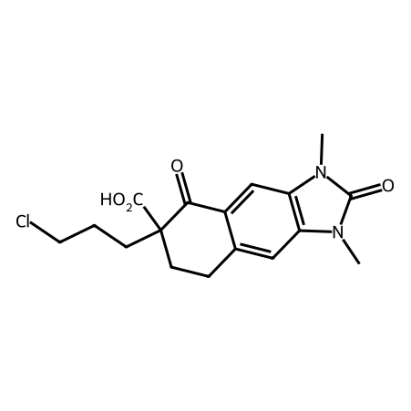 Cn1c(=O)n(C)c2cc3c(cc21)CCC(CCCCl)(C(=O)O)C3=O